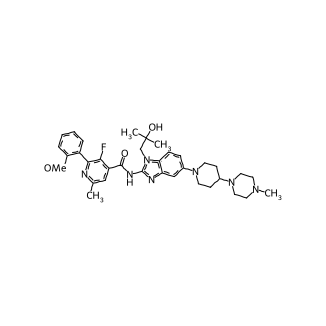 COc1ccccc1-c1nc(C)cc(C(=O)Nc2nc3cc(N4CCC(N5CCN(C)CC5)CC4)ccc3n2CC(C)(C)O)c1F